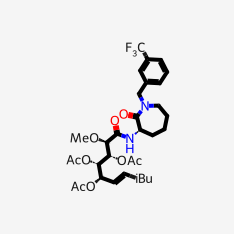 CCC(C)/C=C/[C@@H](OC(C)=O)[C@H](OC(C)=O)[C@@H](OC(C)=O)[C@@H](OC)C(=O)N[C@H]1CCCCN(Cc2cccc(C(F)(F)F)c2)C1=O